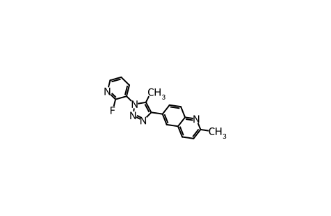 Cc1ccc2cc(-c3nnn(-c4cccnc4F)c3C)ccc2n1